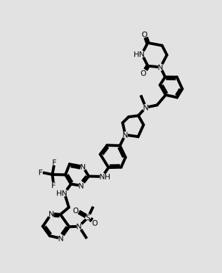 CN(Cc1cccc(N2CCC(=O)NC2=O)c1)C1CCN(c2ccc(Nc3ncc(C(F)(F)F)c(NCc4nccnc4N(C)S(C)(=O)=O)n3)cc2)CC1